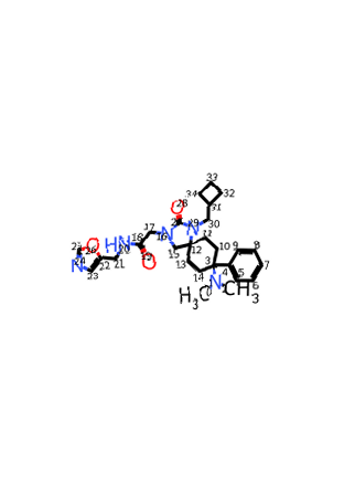 CN(C)[C@]1(c2ccccc2)CC[C@@]2(CC1)CN(CC(=O)NCc1cnco1)C(=O)N2CC1CCC1